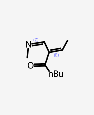 C/C=C(\C=N/C)C(=O)CCCC